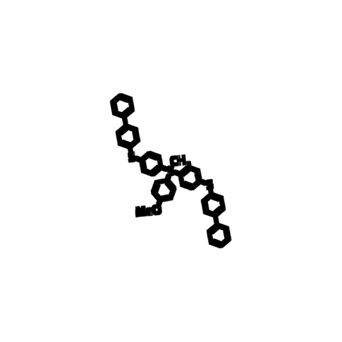 COc1ccc(S(C)(c2ccc(Sc3ccc(-c4ccccc4)cc3)cc2)c2ccc(Sc3ccc(-c4ccccc4)cc3)cc2)cc1